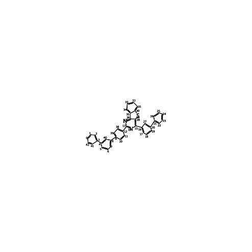 c1ccc(-c2cccc(-c3ccc(-c4nc(-c5cccc(-c6ccccc6)c5)c5sc6ccccc6c5n4)cc3)c2)cc1